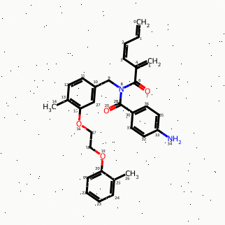 C=C/C=C\C(=C)C(=O)N(Cc1ccc(C)c(OCCOc2ccccc2C)c1)C(=O)c1ccc(N)cc1